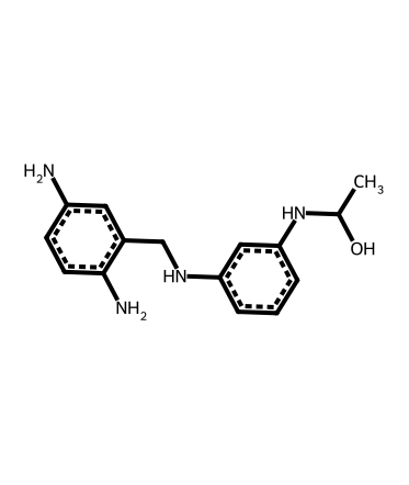 CC(O)Nc1cccc(NCc2cc(N)ccc2N)c1